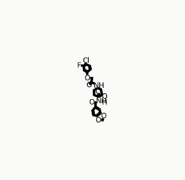 O=C(COc1ccc(Cl)c(F)c1)NC12CCC(NC(=O)c3ccc4c(c3)OCO4)(CC1)C(O)C2